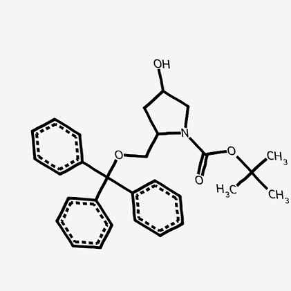 CC(C)(C)OC(=O)N1CC(O)CC1COC(c1ccccc1)(c1ccccc1)c1ccccc1